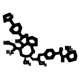 CC(CO)N1C[C@@H](C)[C@@H](CN(C)Cc2ccc(C(=O)Nc3ccccc3N)cc2)Oc2ccccc2C1NC(=O)c1ccc(-c2nccs2)cc1